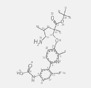 Cc1nc(-c2cc(NC(=O)O)ncc2F)ccc1OCC(C)(CC(C)CN)C(=O)OC(C)(C)C